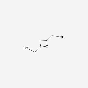 OCC1CC(CO)O1